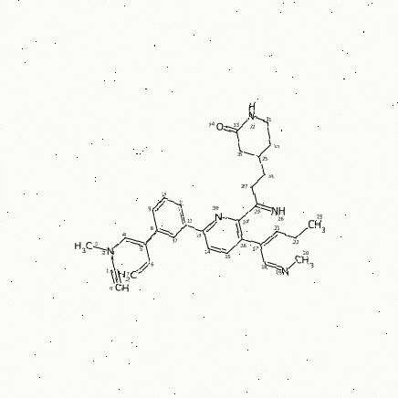 C#CN(C)/C=C(\C=C)c1cccc(-c2ccc(C(/C=N\C)=C/CC)c(C(=N)CCC3CCNC(=O)C3)n2)c1